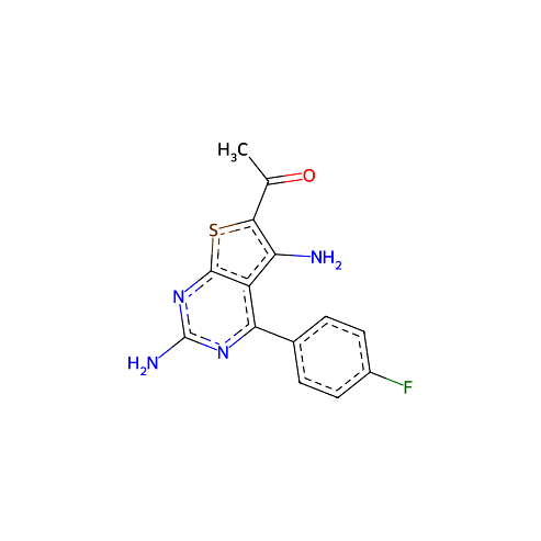 CC(=O)c1sc2nc(N)nc(-c3ccc(F)cc3)c2c1N